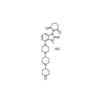 Cl.Cn1c(=O)n(N2C(=O)CCCC2=O)c2cccc(N3CCN(C4CCN(C5CCNCC5)CC4)CC3)c21